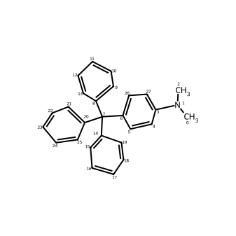 CN(C)c1ccc(C(c2ccccc2)(c2ccccc2)c2ccccc2)cc1